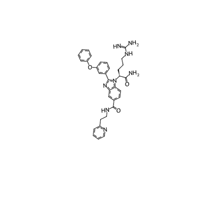 N=C(N)NCCC[C@@H](C(N)=O)n1c(-c2cccc(Oc3ccccc3)c2)nc2cc(C(=O)NCCc3ccccn3)ccc21